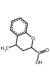 CC1CC(S(=O)O)Oc2ccccc21